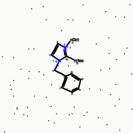 CCCCCCCC[n+]1ccn(Cc2ccccc2)c1CCCCCC